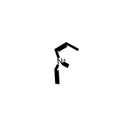 C=C[N+](=C)/C=C\C